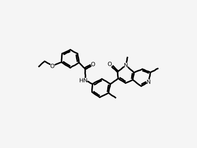 CCOc1cccc(C(=O)Nc2ccc(C)c(-c3cc4cnc(C)cc4n(C)c3=O)c2)c1